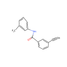 C#Cc1cccc(C(=O)Nc2cccc(C(F)(F)F)c2)c1